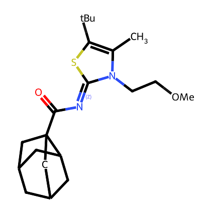 COCCn1c(C)c(C(C)(C)C)s/c1=N\C(=O)C12CC3CC(CC1C3)C2